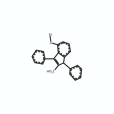 CCOc1cccc2c1C(c1ccccc1)=C(C(=O)O)C2c1ccccc1